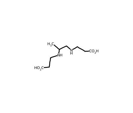 CC(CNCCC(=O)O)NCCC(=O)O